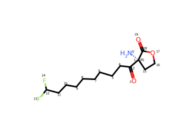 N[C@@]1(C(=O)CCCCCCCCC(F)F)CCOC1=O